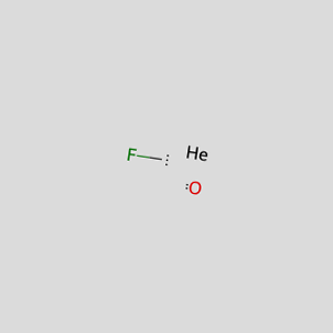 [C]F.[He].[O]